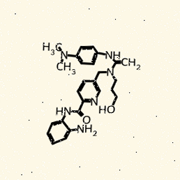 C=C(Nc1ccc(N(C)C)cc1)N(CCCO)Cc1ccc(C(=O)Nc2ccccc2N)nc1